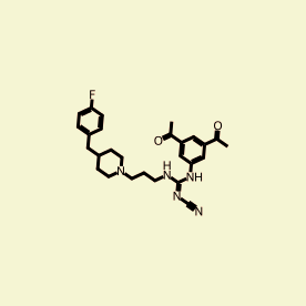 CC(=O)c1cc(N/C(=N\C#N)NCCCN2CCC(Cc3ccc(F)cc3)CC2)cc(C(C)=O)c1